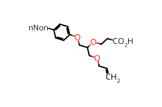 C=CCOCC(COc1ccc(CCCCCCCCC)cc1)OCCC(=O)O